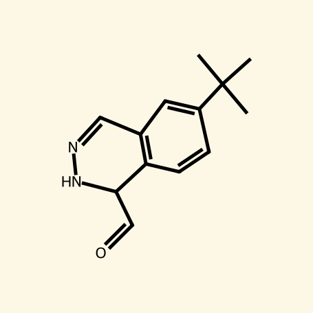 CC(C)(C)c1ccc2c(c1)C=NNC2C=O